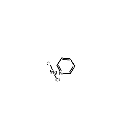 [Cl][Mg][Cl].[c]1cccnc1